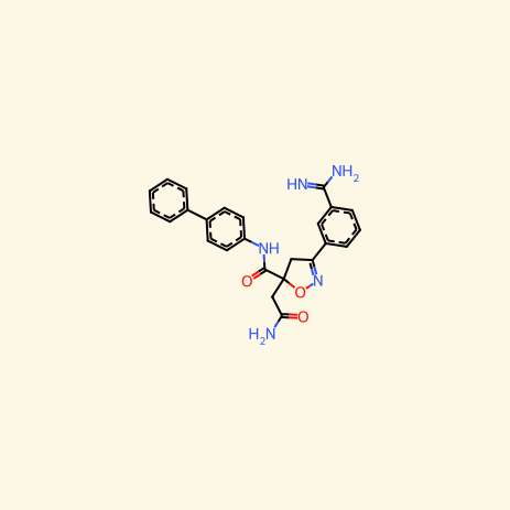 N=C(N)c1cccc(C2=NOC(CC(N)=O)(C(=O)Nc3ccc(-c4ccccc4)cc3)C2)c1